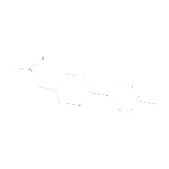 N=C(N)CC1CCN(c2ccc(F)cc2)CC1